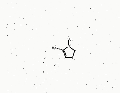 CC1=CSCN1C